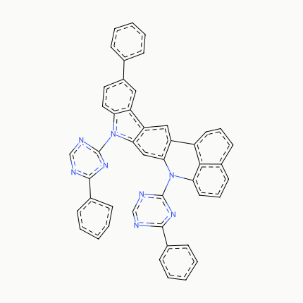 c1ccc(-c2ccc3c(c2)c2cc4c(cc2n3-c2ncnc(-c3ccccc3)n2)N(c2ncnc(-c3ccccc3)n2)c2cccc3cccc-4c23)cc1